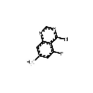 Cc1cc(F)c2c(Cl)ncnc2c1